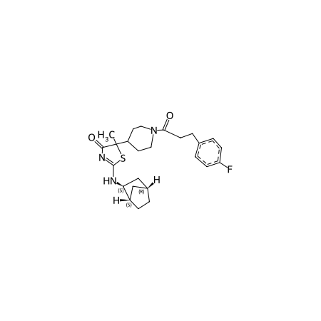 CC1(C2CCN(C(=O)CCc3ccc(F)cc3)CC2)SC(N[C@H]2C[C@@H]3CC[C@H]2C3)=NC1=O